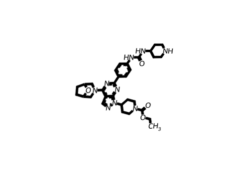 CCOC(=O)N1CCC(n2ncc3c(N4CC5CCC(C4)O5)nc(-c4ccc(NC(=O)NC5CCNCC5)cc4)nc32)CC1